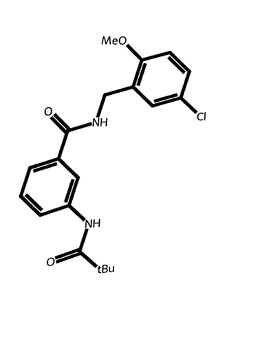 COc1ccc(Cl)cc1CNC(=O)c1cccc(NC(=O)C(C)(C)C)c1